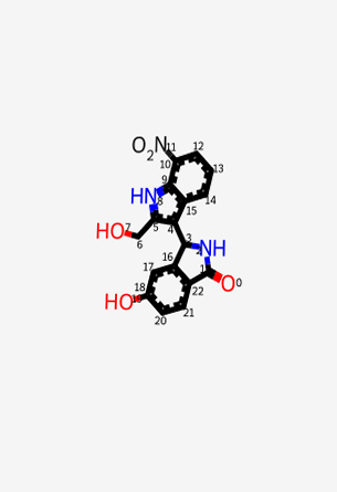 O=C1NC(c2c(CO)[nH]c3c([N+](=O)[O-])cccc23)c2cc(O)ccc21